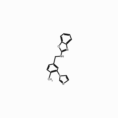 Cc1ccc(CNc2nc3ccccc3o2)cc1-n1ccnc1